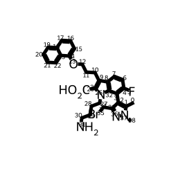 Cc1c(-c2c(F)ccc3c(CCCOc4cccc5ccccc45)c(C(=O)O)n(CCCCN)c23)c(CBr)nn1C